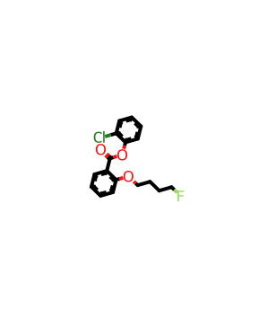 O=C(Oc1ccccc1Cl)c1ccccc1OCCCCF